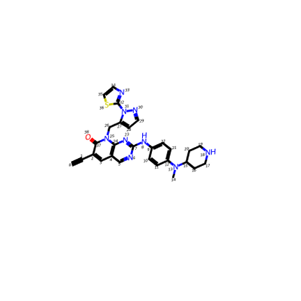 C#Cc1cc2cnc(Nc3ccc(N(C)C4CCNCC4)cc3)nc2n(Cc2ccnn2-c2nccs2)c1=O